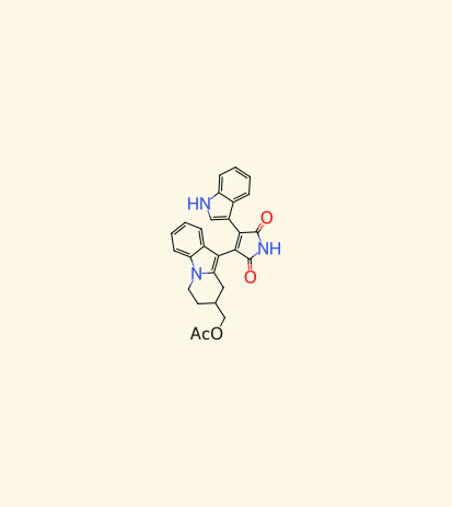 CC(=O)OCC1CCn2c(c(C3=C(c4c[nH]c5ccccc45)C(=O)NC3=O)c3ccccc32)C1